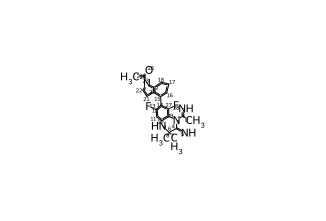 CC(=N)N1C(=N)C(C)(C)Nc2cc(F)c(-c3cccc4c3ccn4C(C)=O)c(F)c21